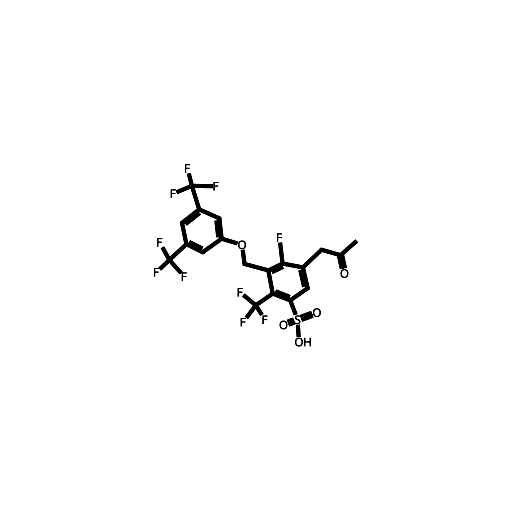 CC(=O)Cc1cc(S(=O)(=O)O)c(C(F)(F)F)c(COc2cc(C(F)(F)F)cc(C(F)(F)F)c2)c1F